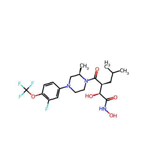 CC(C)C[C@H](C(=O)N1CCN(c2ccc(OC(F)(F)F)c(F)c2)C[C@H]1C)[C@H](O)C(=O)NO